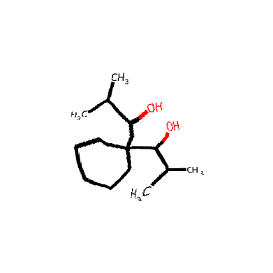 CC(C)C(O)C1(C(O)C(C)C)CCCCC1